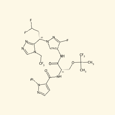 CC(C)n1nccc1C(=O)N[C@@H](COC(C)(C)C(F)(F)F)C(=O)Nc1cn([C@@H](CC(F)F)c2nncn2CC(F)(F)F)nc1F